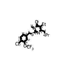 CCc1c(CC(C)C)nc(SCc2ccc(Cl)c(OC(F)(F)F)c2)n(C)c1=O